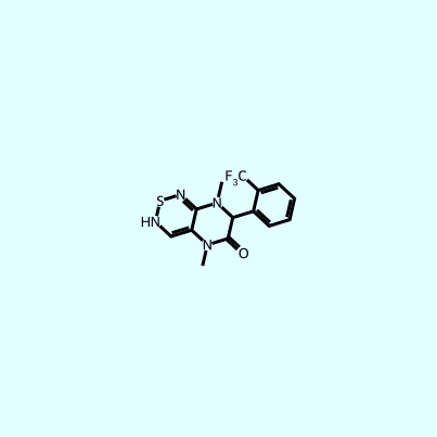 CN1C(=O)C(c2ccccc2C(F)(F)F)N(C)C2=NSNC=C21